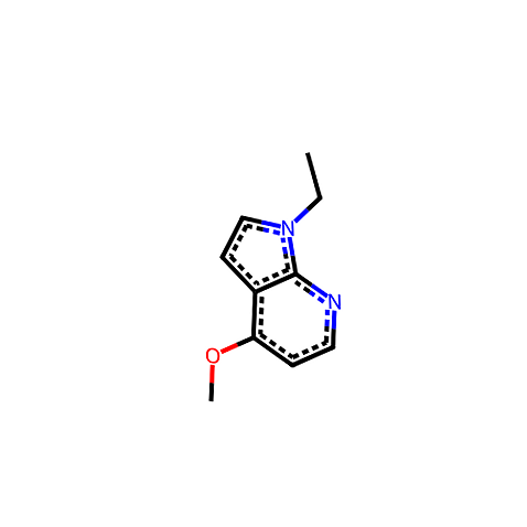 CCn1ccc2c(OC)ccnc21